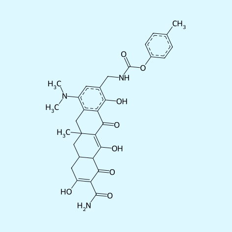 Cc1ccc(OC(=O)NCc2cc(N(C)C)c3c(c2O)C(=O)C2=C(O)C4C(=O)C(C(N)=O)=C(O)CC4CC2(C)C3)cc1